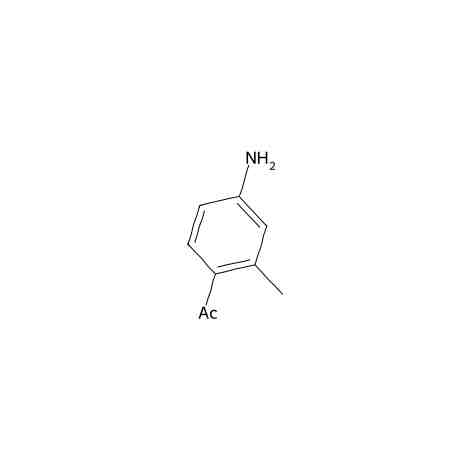 CC(=O)c1ccc(N)cc1C